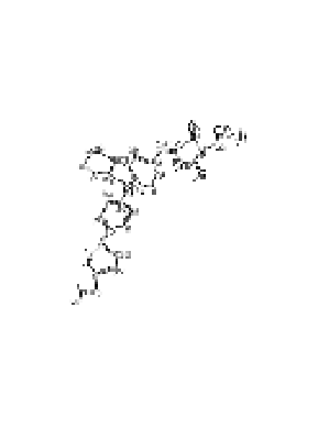 CC=Cc1ccc(-c2ccc(N3c4ccc(/C=C5\SC(=S)N(CC(=O)O)C5=O)cc4C4CCCCC43)cc2)cc1